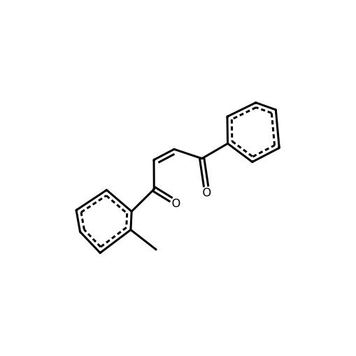 Cc1ccccc1C(=O)/C=C\C(=O)c1ccccc1